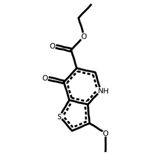 CCOC(=O)c1c[nH]c2c(OC)csc2c1=O